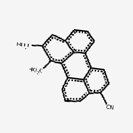 N#Cc1ccc2c3cccc4cc(C(=O)O)c(C(=O)O)c(c5cccc1c25)c43